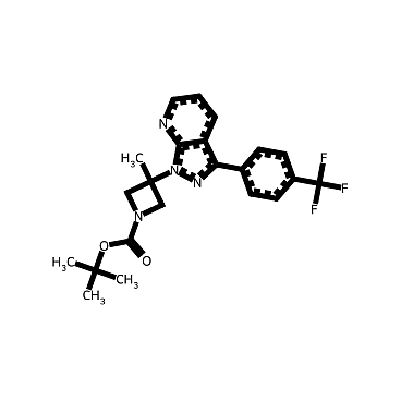 CC(C)(C)OC(=O)N1CC(C)(n2nc(-c3ccc(C(F)(F)F)cc3)c3cccnc32)C1